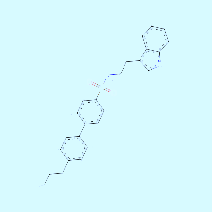 CC(C)CCc1ccc(-c2ccc(S(=O)(=O)NCCc3c[nH]c4ccccc34)cc2)cc1